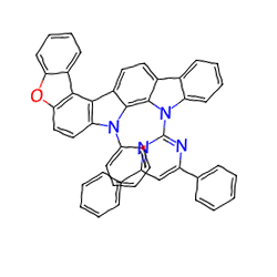 c1ccc(-c2cc(-c3ccccc3)nc(-n3c4ccccc4c4ccc5c6c7c(ccc6n(-c6ccccc6)c5c43)oc3ccccc37)n2)cc1